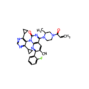 C=CC(=O)N1CCN(c2nc(=O)n(-c3c(C4CC4)ncnc3C3CC3)c3nc(-c4ccccc4F)c(C#N)cc23)C(C)C1